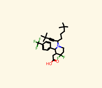 CC(C)(C)C#CC(CCCC(C)(C)C)N1CCC(F)(F)C(CC(=O)O)C1c1ccc(C(F)(F)F)cc1